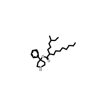 CCCCCCCCC(CCCC(C)CC)C(=O)OC1(c2ccccc2)CCNCC1